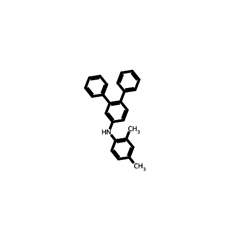 Cc1ccc(Nc2ccc(-c3ccccc3)c(-c3ccccc3)c2)c(C)c1